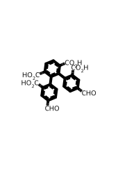 O=Cc1ccc(-c2c(C(=O)O)ccc(C(=O)O)c2-c2ccc(C=O)cc2C(=O)O)c(C(=O)O)c1